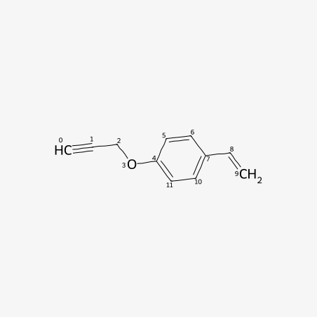 C#CCOc1ccc(C=C)cc1